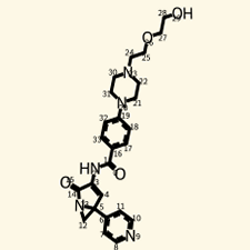 O=C(NC1=CC2(c3ccncc3)CN2C1=O)c1ccc(N2CCN(CCOCCO)CC2)cc1